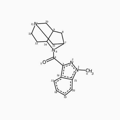 Cn1nc(C(=O)N2C3CC4CN(CCC42)C3)c2ccccc21